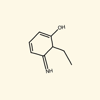 CCC1C(=N)C=CC=C1O